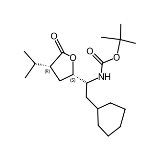 CC(C)[C@H]1C[C@@H](C(CC2CCCCC2)NC(=O)OC(C)(C)C)OC1=O